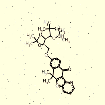 C[SiH](C)OC([C@@H]1OC(C)(C)O[C@@H]1COc1ccc2c(c1)C(C)(C)c1oc3cccnc3c1C2=O)C(C)(C)C